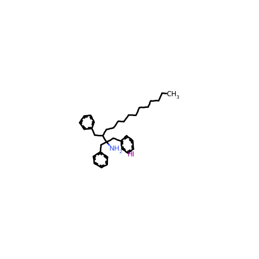 CCCCCCCCCCCCC(Cc1ccccc1)C(N)(Cc1ccccc1)Cc1ccccc1.I